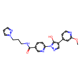 COc1cc(-c2cnn(-c3ccc(C(=O)NCCCn4cccn4)cn3)c2O)ccn1